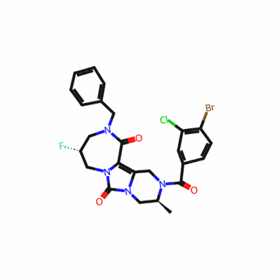 C[C@H]1Cn2c(c3n(c2=O)C[C@H](F)CN(Cc2ccccc2)C3=O)CN1C(=O)c1ccc(Br)c(Cl)c1